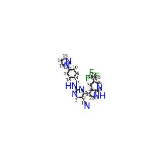 N#Cc1cnc(NCc2ccc(-n3cccn3)cc2)nc1-c1c[nH]c2ncc(C(F)(F)F)cc12